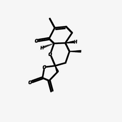 C=C1C[C@@]2(C[C@H](C)[C@H]3CC=C(C)C(=O)[C@@H]3O2)OC1=O